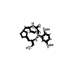 C/C=C1\C=C2/CCC(/C=C(\C=C/N)NC(=O)CN(c3cc(OC)ccc3OC)S1)C2